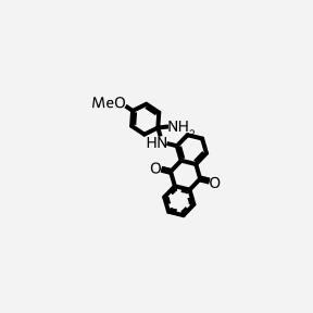 COC1=CCC(N)(NC2=C3C(=O)c4ccccc4C(=O)C3=CCC2)C=C1